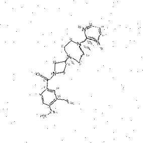 COc1ccc(C(=O)N2CC(N3CCN(c4ncccn4)CC3)C2)cc1I